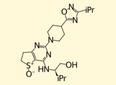 CC(C)c1noc(C2CCN(c3nc4c(c(N[C@@H](CO)C(C)C)n3)[S+]([O-])CC4)CC2)n1